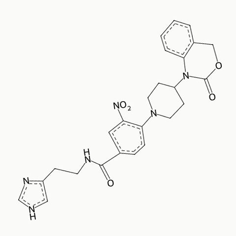 O=C(NCCc1c[nH]cn1)c1ccc(N2CCC(N3C(=O)OCc4ccccc43)CC2)c([N+](=O)[O-])c1